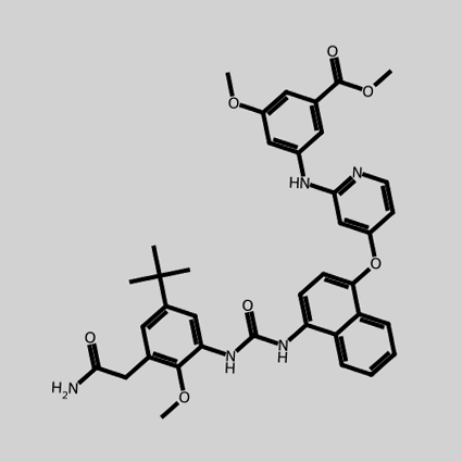 COC(=O)c1cc(Nc2cc(Oc3ccc(NC(=O)Nc4cc(C(C)(C)C)cc(CC(N)=O)c4OC)c4ccccc34)ccn2)cc(OC)c1